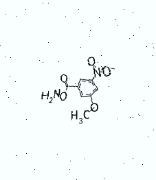 COc1cc(C(=O)ON)cc([N+](=O)[O-])c1